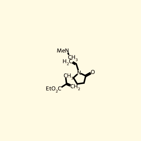 C=C(C)C(=O)OCC.C=CN1CCCC1=O.CNC